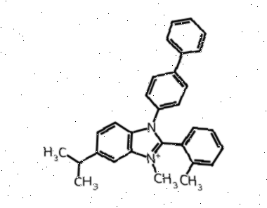 Cc1ccccc1-c1n(-c2ccc(-c3ccccc3)cc2)c2ccc(C(C)C)cc2[n+]1C